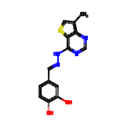 Cc1csc2c(NN=Cc3ccc(O)c(O)c3)ncnc12